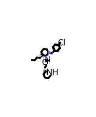 CCCC[C@H]1CCCC(=C\c2ccc(Cl)cc2)/C1=N/OCC[C@H]1CCCCN1